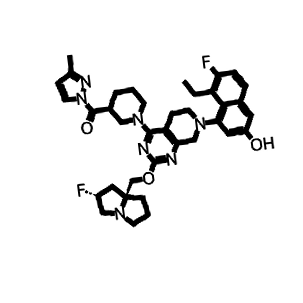 CCc1c(F)ccc2cc(O)cc(N3CCc4c(nc(OC[C@@]56CCCN5C[C@H](F)C6)nc4N4CCCC(C(=O)n5ccc(C)n5)C4)C3)c12